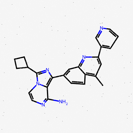 Cc1cc(-c2cccnc2)nc2cc(-c3nc(C4CCC4)n4ccnc(N)c34)ccc12